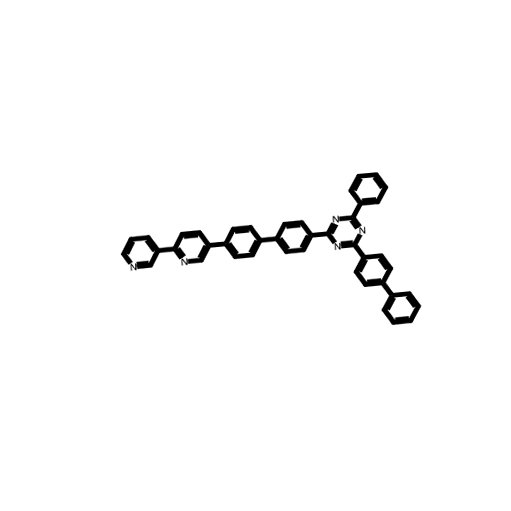 c1ccc(-c2ccc(-c3nc(-c4ccccc4)nc(-c4ccc(-c5ccc(-c6ccc(-c7cccnc7)nc6)cc5)cc4)n3)cc2)cc1